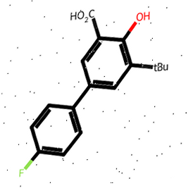 CC(C)(C)c1cc(-c2ccc(F)cc2)cc(C(=O)O)c1O